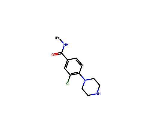 CC(C)NC(=O)c1ccc(N2CCNCC2)c(Cl)c1